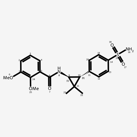 COc1cccc(C(=O)N[C@H]2[C@H](c3ccc(S(N)(=O)=O)cc3)C2(C)C)c1OC